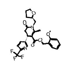 COc1ccccc1COC(=O)C1=C(C)N(C[C@H]2CCCO2)C(=O)C[C@H]1c1ccc(C(F)(F)F)nc1